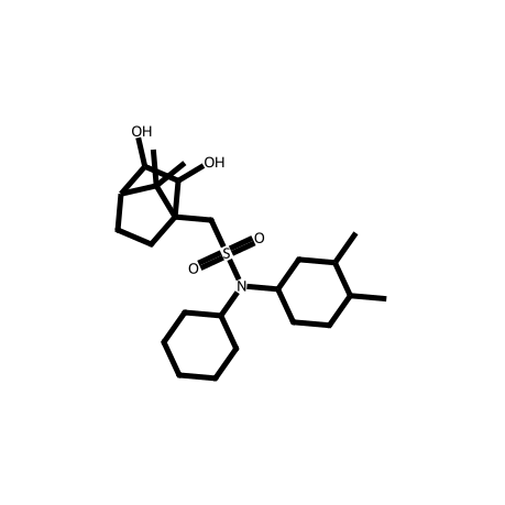 CC1CCC(N(C2CCCCC2)S(=O)(=O)CC23CCC(C(O)C2O)C3(C)C)CC1C